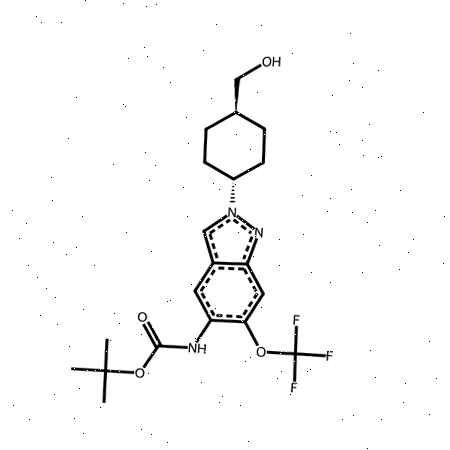 CC(C)(C)OC(=O)Nc1cc2cn([C@H]3CC[C@H](CO)CC3)nc2cc1OC(F)(F)F